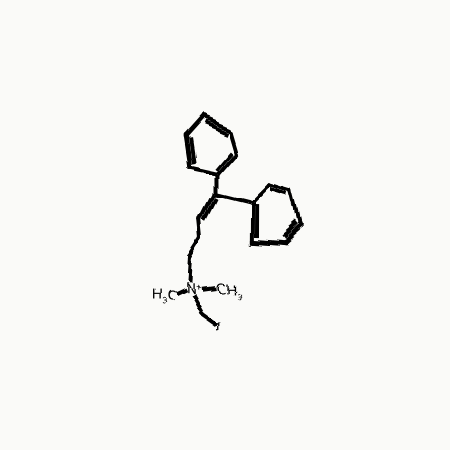 C[N+](C)(CI)CCC=C(c1ccccc1)c1ccccc1